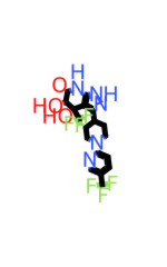 O=C1Nc2[nH]nc(C3CCN(c4ccc(C(F)(F)F)cn4)CC3)c2C(O)(C(F)(F)F)C1O